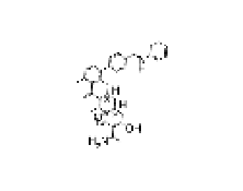 C=C(N)C1=C(O)C[C@@H]2C[C@@H]3Cc4c(-c5ccc(CNC6=CC=CCC6)cc5)ccc(C)c4C(=C)C3=C(C)[C@]2(OI)C1=C